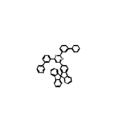 c1ccc(-c2cccc(-c3nc(-c4cccc(-c5cccnc5)c4)cc(-c4ccc5c(c4)C4(c6ccccc6-c6ccccc64)c4ccccc4-5)n3)c2)cc1